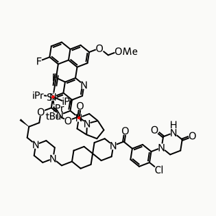 COCOc1cc(-c2ncc3c(N4CC5CCC(C4)N5C(=O)OC(C)(C)C)nc(OC[C@H](C)CN4CCN(CC5CCC6(CC5)CCN(C(=O)c5ccc(Cl)c(N7CCC(=O)NC7=O)c5)CC6)CC4)nc3c2F)c2c(C#C[Si](C(C)C)(C(C)C)C(C)C)c(F)ccc2c1